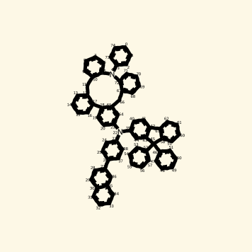 c1ccc(N2c3ccccc3Cc3ccccc3-c3ccc(N(c4ccc(-c5ccc6ccccc6c5)cc4)c4ccc5c(c4)C(c4ccccc4)(c4ccccc4)c4ccccc4-5)cc3Cc3ccccc32)cc1